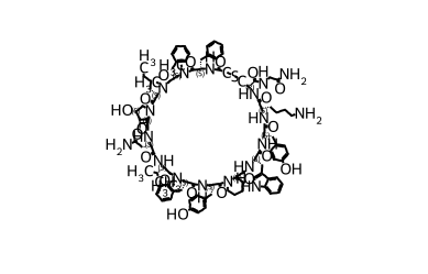 CCCC[C@H]1C(=O)N2C[C@@H](O)C[C@@H]2C(=O)N[C@@H](CC(N)=O)C(=O)N[C@@H](C(C)C)C(=O)N(C)[C@@H](Cc2ccccc2)C(=O)N[C@@H](Cc2ccc(O)cc2)C(=O)N2CCCC[C@@H]2C(=O)N[C@@H](Cc2c[nH]c3ccccc23)C(=O)N[C@@H](Cc2ccc(O)cc2)C(=O)N[C@@H](CCCCN)C(=O)N[C@H](C(=O)NCC(N)=O)CSCC(=O)N[C@@H](Cc2ccccc2)C(=O)N(C)[C@@H](Cc2ccccc2)C(=O)N1C